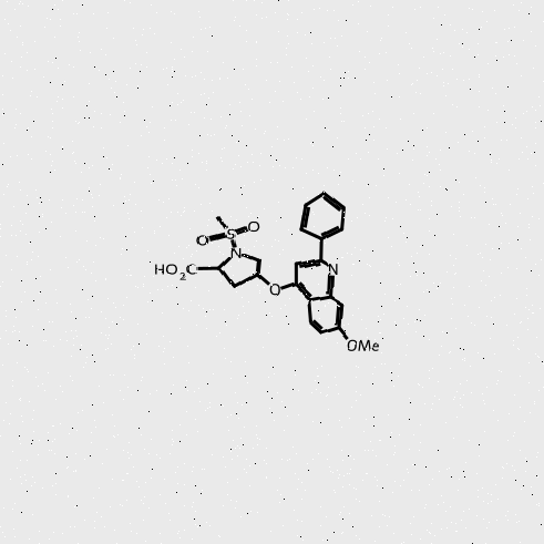 COc1ccc2c(OC3CC(C(=O)O)N(S(C)(=O)=O)C3)cc(-c3ccccc3)nc2c1